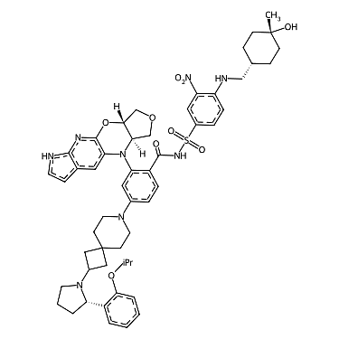 CC(C)Oc1ccccc1[C@@H]1CCCN1C1CC2(CCN(c3ccc(C(=O)NS(=O)(=O)c4ccc(NC[C@H]5CC[C@@](C)(O)CC5)c([N+](=O)[O-])c4)c(N4c5cc6cc[nH]c6nc5O[C@@H]5COC[C@H]54)c3)CC2)C1